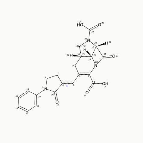 O=C(O)C1=C(/C=C2\CCN(c3ccccc3)C2=O)C[C@@H]2CN(C(=O)O)[C@@H]3C(=O)N1[C@H]23